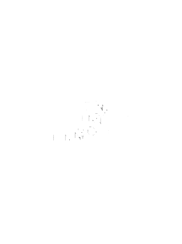 CCCc1ccc(S(=O)(=O)N2CCN(C)CC2)cc1-c1nc2c(CCC)nn(C)c2c(=O)[nH]1